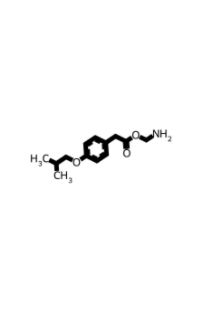 CC(C)COc1ccc(CC(=O)OCN)cc1